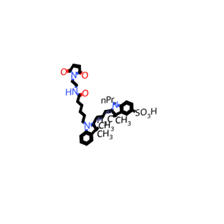 CCCN1/C(=C/C=C/C2=[N+](CCCCCC(=O)NCCN3C(=O)C=CC3=O)c3ccccc3C2(C)C)C(C)(C)c2cc(S(=O)(=O)O)ccc21